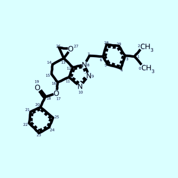 CC(C)c1ccc(Cn2nnc3c2C2(CCC3OC(=O)c3ccccc3)CO2)cc1